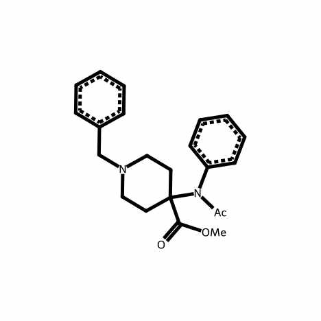 COC(=O)C1(N(C(C)=O)c2ccccc2)CCN(Cc2ccccc2)CC1